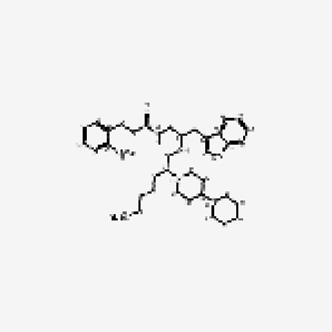 CCCCCCCCCCCCCCC(CNC(CNC(=O)CCc1ccccc1OC)Cc1c[nH]c2ccccc12)N1CCC(N2CCCCC2)CC1